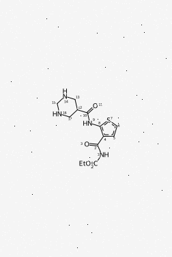 CCOC(=O)NC(=O)c1ccsc1NC(=O)C1CNCNC1